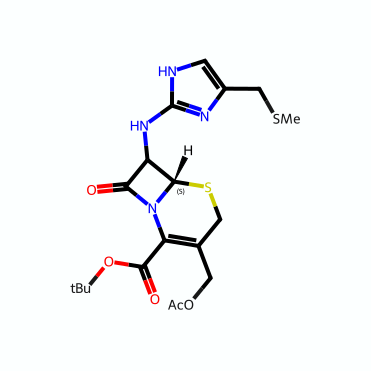 CSCc1c[nH]c(NC2C(=O)N3C(C(=O)OC(C)(C)C)=C(COC(C)=O)CS[C@@H]23)n1